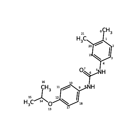 Cc1ccc(NC(=O)Nc2ccc(OC(C)C)cc2)cc1C